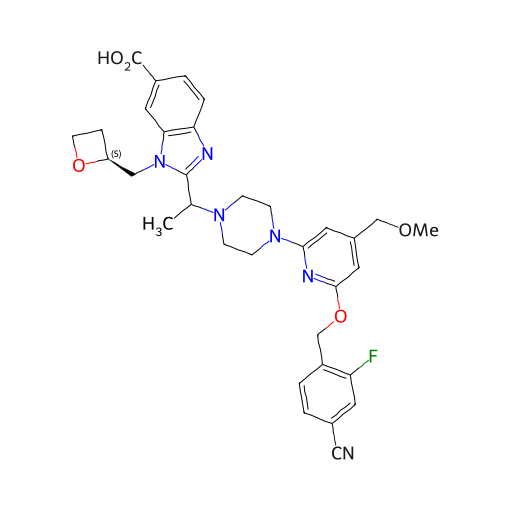 COCc1cc(OCc2ccc(C#N)cc2F)nc(N2CCN(C(C)c3nc4ccc(C(=O)O)cc4n3C[C@@H]3CCO3)CC2)c1